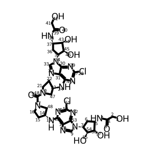 O=C(CO)N[C@H]1C[C@@H](n2cnc3c(N[C@@H]4CCN(C(=O)N5CC[C@@H](Nc6nc(Cl)nc7c6ncn7[C@@H]6C[C@H](NC(=O)CO)[C@@H](O)[C@H]6O)C5)C4)nc(Cl)nc32)[C@H](O)[C@@H]1O